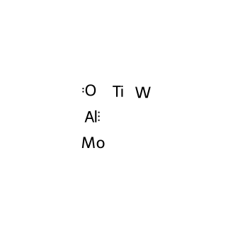 [Al].[Mo].[O].[Ti].[W]